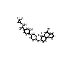 O=C(NC1CC1(F)F)c1ccc(C2=CCN(Cc3ccc4c([nH]c(=O)c5cccn54)c3F)CC2)c(F)n1